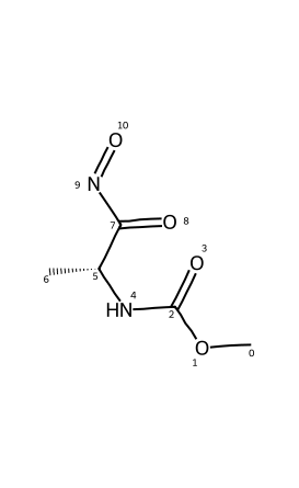 COC(=O)N[C@H](C)C(=O)N=O